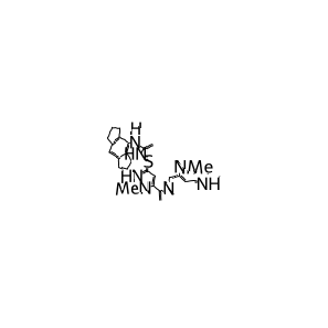 C=C(NSC(=N)/C=C(\NC)C(=C)N(C)C/C(=C/C=N)NC)Nc1c2c(cc3c1CCC3)CCC2